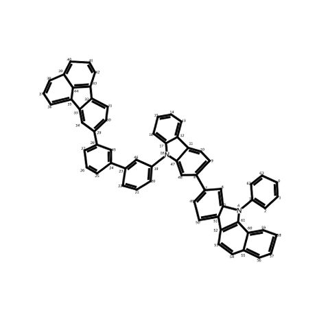 c1ccc(-n2c3cc(-c4ccc5c6ccccc6n(-c6cccc(-c7cccc(-c8ccc9c(c8)-c8cccc%10cccc-9c8%10)c7)c6)c5c4)ccc3c3ccc4ccccc4c32)cc1